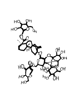 C=C1CC23CCC4[C@](C)(C(=O)OC5OC(CO)C(O)C(O)C5O)CCC[C@@]4(C)[C@@H]2CC[C@]1(OC1OC(COC2(O)COC(CO)C(O)C2O)C(O)C(OC2OC(CO)C(O)C(O)C2O)C1OC1OC(CO)C(O)C(O)C1O)C3